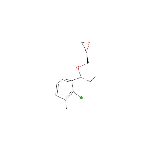 CC[C@@H](OC[C@H]1CO1)c1cccc(C)c1Br